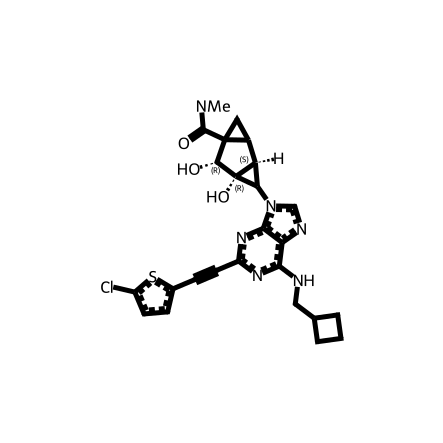 CNC(=O)C12CC1[C@H]1C(n3cnc4c(NCC5CCC5)nc(C#Cc5ccc(Cl)s5)nc43)[C@@]1(O)[C@@H]2O